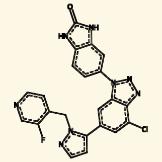 O=c1[nH]c2ccc(-n3nnc4c(Cl)cc(-c5ccnn5Cc5ccncc5F)cc43)cc2[nH]1